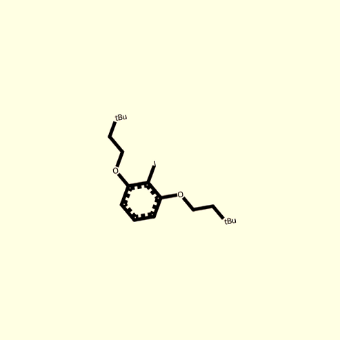 CC(C)(C)CCOc1cccc(OCCC(C)(C)C)c1I